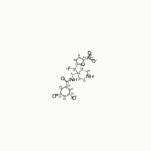 O=C(NCC1(C(F)c2ccc([N+](=O)[O-])o2)CCNCC1)c1cc(Cl)cc(Cl)c1